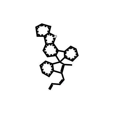 C=C/C=C\C1=C(C)C2(c3ccccc31)c1ccccc1-c1c2ccc2c1oc1ccccc12